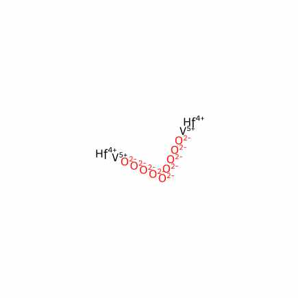 [Hf+4].[Hf+4].[O-2].[O-2].[O-2].[O-2].[O-2].[O-2].[O-2].[O-2].[O-2].[V+5].[V+5]